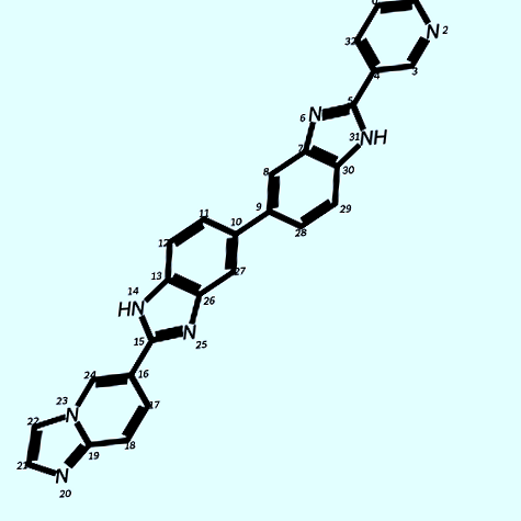 c1cncc(-c2nc3cc(-c4ccc5[nH]c(-c6ccc7nccn7c6)nc5c4)ccc3[nH]2)c1